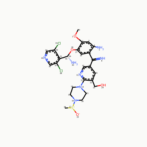 COc1cc(N)c(C(=N)c2cnc(N3CCN([S+](C)[O-])CC3)c(CO)c2)cc1O[C@H](N)c1c(Cl)cncc1Cl